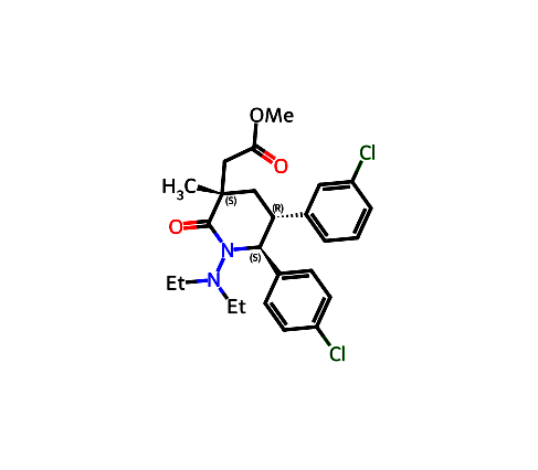 CCN(CC)N1C(=O)[C@](C)(CC(=O)OC)C[C@H](c2cccc(Cl)c2)[C@H]1c1ccc(Cl)cc1